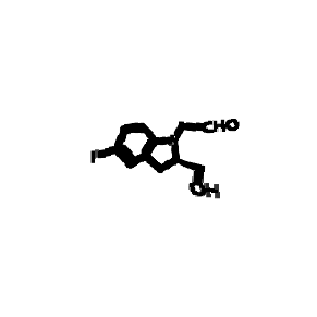 O=CCN1c2ccc(F)cc2C[C@@H]1CO